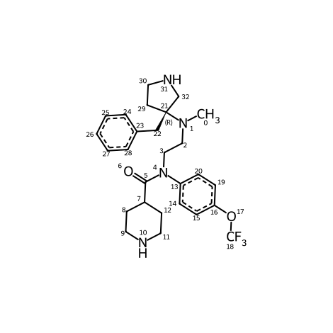 CN(CCN(C(=O)C1CCNCC1)c1ccc(OC(F)(F)F)cc1)[C@]1(Cc2ccccc2)CCNC1